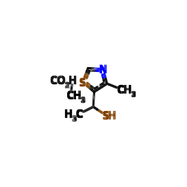 CC(=O)O.Cc1ncsc1C(C)S